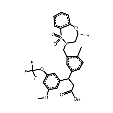 COc1cc(OC(F)(F)F)cc(C(CC(=O)O)c2ccc(C)c(CN3C[C@@H](C)Oc4ccccc4S3(=O)=O)c2)c1